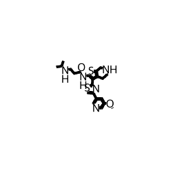 COc1cncc(-c2csc(-c3c(NC(=O)CCNC(C)C)sc4c3CCNC4)n2)c1